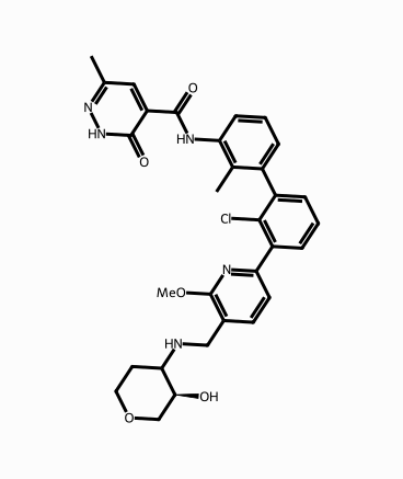 COc1nc(-c2cccc(-c3cccc(NC(=O)c4cc(C)n[nH]c4=O)c3C)c2Cl)ccc1CNC1CCOC[C@@H]1O